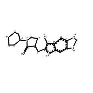 O=C1C(Cc2sc3cc4c(cc3c2Cl)OCO4)CCN1C1CCCCC1